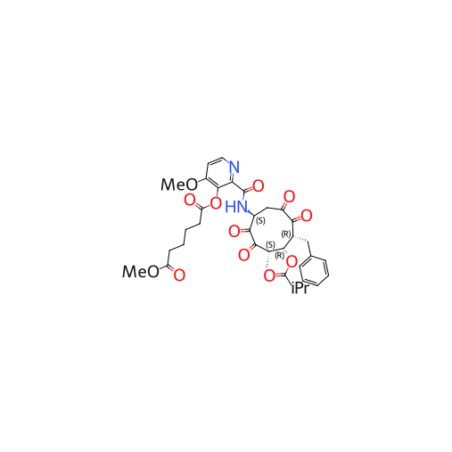 COC(=O)CCCCC(=O)Oc1c(OC)ccnc1C(=O)N[C@H]1CC(=O)C(=O)[C@H](Cc2ccccc2)[C@H](OC(=O)C(C)C)[C@H](C)C(=O)C1=O